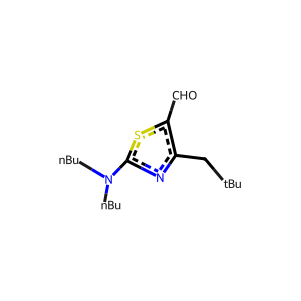 CCCCN(CCCC)c1nc(CC(C)(C)C)c(C=O)s1